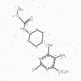 CCOC(=O)c1nc(Cl)nc(N[C@H]2CC[C@H](NC(=O)OC(C)(C)C)CC2)c1N